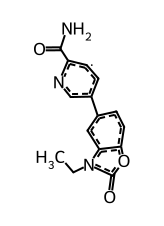 CCn1c(=O)oc2ccc(-c3c[c]c(C(N)=O)nc3)cc21